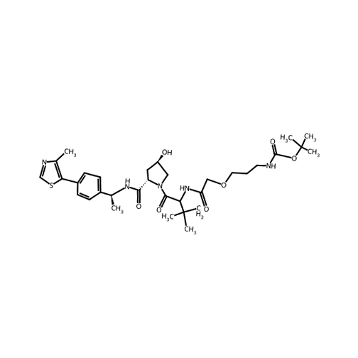 Cc1ncsc1-c1ccc([C@H](C)NC(=O)[C@@H]2C[C@@H](O)CN2C(=O)C(NC(=O)COCCCNC(=O)OC(C)(C)C)C(C)(C)C)cc1